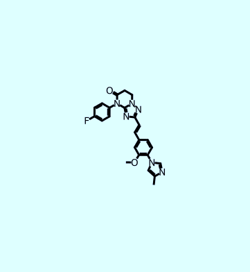 COc1cc(/C=C/c2nc3n(n2)CCC(=O)N3c2ccc(F)cc2)ccc1-n1cnc(C)c1